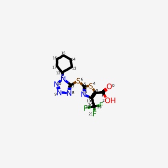 O=C(O)c1sc(Sc2nnnn2C2CCCCC2)nc1C(F)(F)F